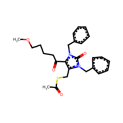 COCCCCC(=O)c1c(CSC(C)=O)n(Cc2ccccc2)c(=O)n1Cc1ccccc1